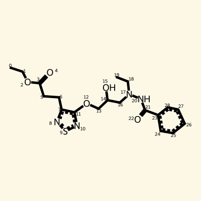 CCOC(=O)CCc1nsnc1OCC(O)CN(CC)NC(=O)c1ccccc1